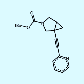 CC(C)(C)OC(=O)N1CC2CC2(C#Cc2ccccn2)C1